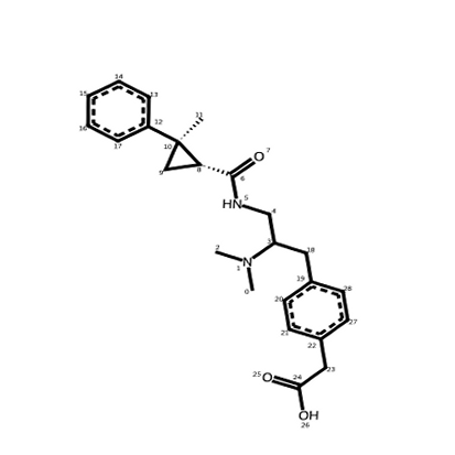 CN(C)C(CNC(=O)[C@@H]1C[C@@]1(C)c1ccccc1)Cc1ccc(CC(=O)O)cc1